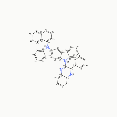 c1ccc(-c2nc3ccccc3nc2-n2c3ccccc3c3cc4c(cc32)c2ccccc2n4-c2cccc3ccccc23)cc1